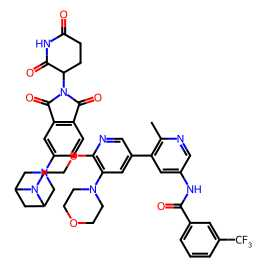 Cc1ncc(NC(=O)c2cccc(C(F)(F)F)c2)cc1-c1cnc(OCCN2C3CC2CN(c2ccc4c(c2)C(=O)N(C2CCC(=O)NC2=O)C4=O)C3)c(N2CCOCC2)c1